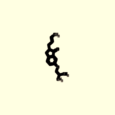 CC=CCC1Cc2ccc(OCC(C)C)cc2C1=O